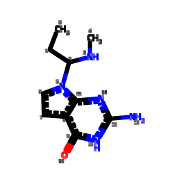 CCC(NC)n1ccc2c(=O)[nH]c(N)nc21